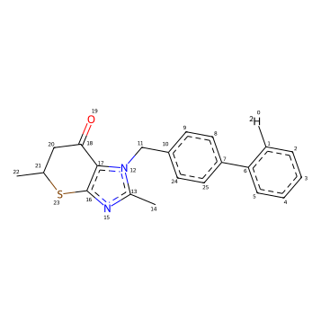 [2H]c1ccccc1-c1ccc(Cn2c(C)nc3c2C(=O)CC(C)S3)cc1